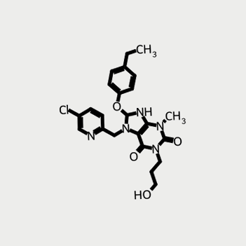 CCc1ccc(OC2Nc3c(c(=O)n(CCCO)c(=O)n3C)N2Cc2ccc(Cl)cn2)cc1